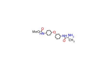 COC(=O)Nc1ccc(Oc2cccc(NC(=O)C(C)N)c2)cc1